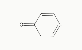 O=C1C=C[C]=CC1